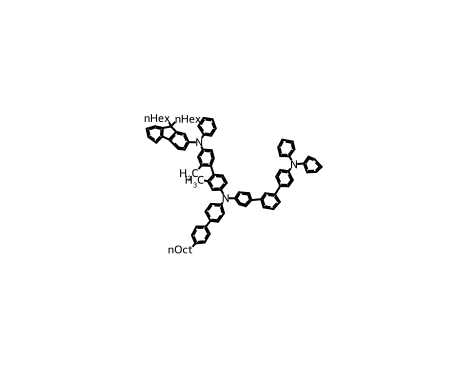 CCCCCCCCc1ccc(-c2ccc(N(c3ccc(-c4cccc(-c5ccc(N(c6ccccc6)c6ccccc6)cc5)c4)cc3)c3ccc(-c4ccc(N(c5ccccc5)c5ccc6c(c5)C(CCCCCC)(CCCCCC)c5ccccc5-6)cc4C)c(C)c3)cc2)cc1